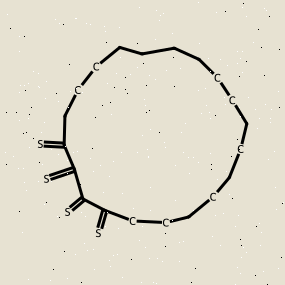 S=C1CCCCCCCCCCCCCCCCC(=S)C(=S)C1=S